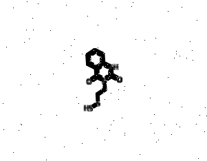 O=c1[nH]c2ccccc2c(=O)n1CCSS